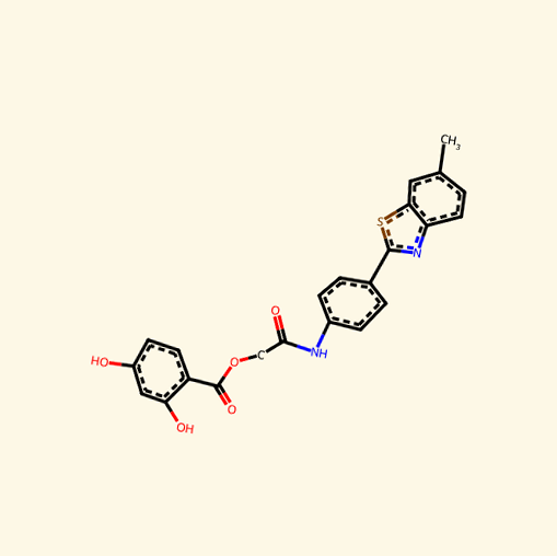 Cc1ccc2nc(-c3ccc(NC(=O)COC(=O)c4ccc(O)cc4O)cc3)sc2c1